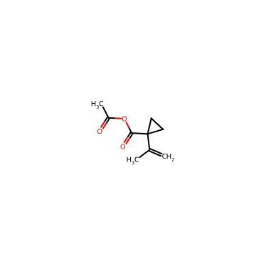 C=C(C)C1(C(=O)OC(C)=O)CC1